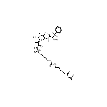 CN[C@H](C(=O)N[C@H](C(=O)N(C)[C@H](/C=C(\C)C(=O)NS(=O)(=O)CCSSCCC(=O)NCCCCCC(=O)NN(C)I)C(C)C)C(C)(C)C)C(C)(C)c1ccccc1